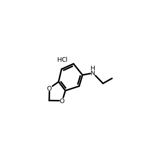 CCNc1ccc2c(c1)OCO2.Cl